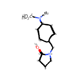 CC(C)(C)N(C(=O)O)C1CCC(CN2CCCC2=O)CC1